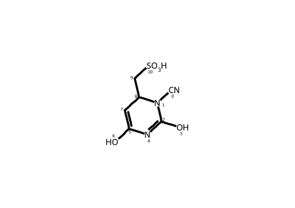 N#CN1C(O)=NC(O)=CC1CS(=O)(=O)O